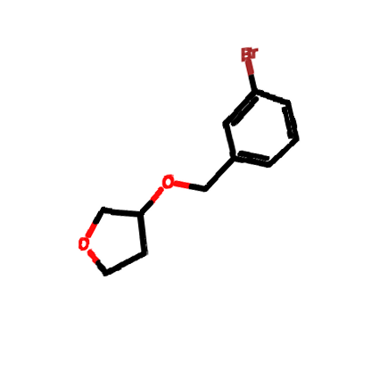 Brc1cccc(COC2CCOC2)c1